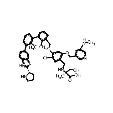 CNc1cncc(COc2cc(OCc3cccc(-c4cccc(-c5ccc6[nH]c([C@@H]7CCCN7)nc6c5)c4C)c3C)c(Cl)cc2CN[C@@](C)(CO)C(=O)O)c1